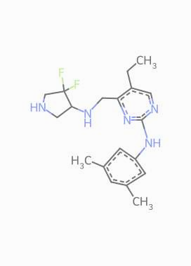 CCc1cnc(Nc2cc(C)cc(C)c2)nc1CNC1CNCC1(F)F